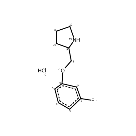 Cl.Fc1cccc(OCC2CCCN2)c1